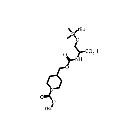 CC(C)(C)OC(=O)N1CCC(COC(=O)NC(CO[Si](C)(C)C(C)(C)C)C(=O)O)CC1